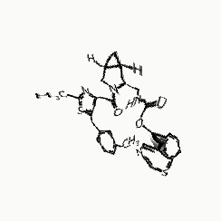 Cc1cccc(-c2sc(C)nc2C(=O)N2C[C@@H]3C[C@@H]3[C@H]2CNC(=O)Oc2cccc3scnc23)c1